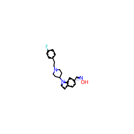 O/N=C\c1ccc2ccn(C3CCN(CCc4ccc(F)cc4)CC3)c2c1